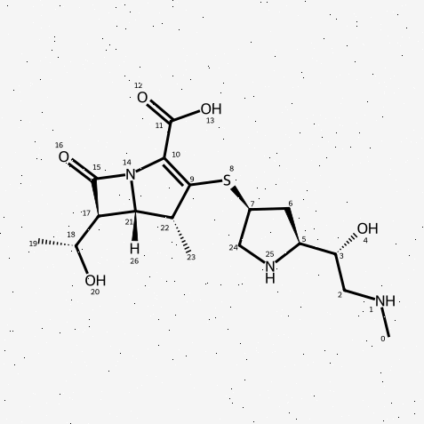 CNC[C@@H](O)[C@@H]1C[C@H](SC2=C(C(=O)O)N3C(=O)[C@H]([C@@H](C)O)[C@H]3[C@H]2C)CN1